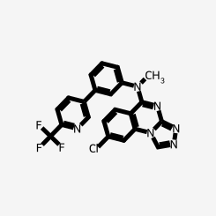 CN(c1cccc(-c2ccc(C(F)(F)F)nc2)c1)c1nc2nncn2c2cc(Cl)ccc12